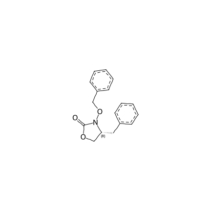 O=C1OC[C@@H](Cc2ccccc2)N1OCc1ccccc1